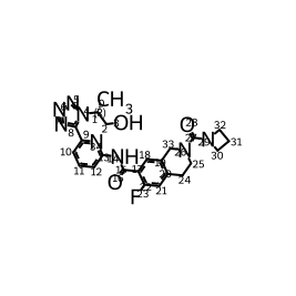 C[C@H](CO)n1nnnc1-c1cccc(NC(=O)c2cc3c(cc2F)CCN(C(=O)N2CCC2)C3)n1